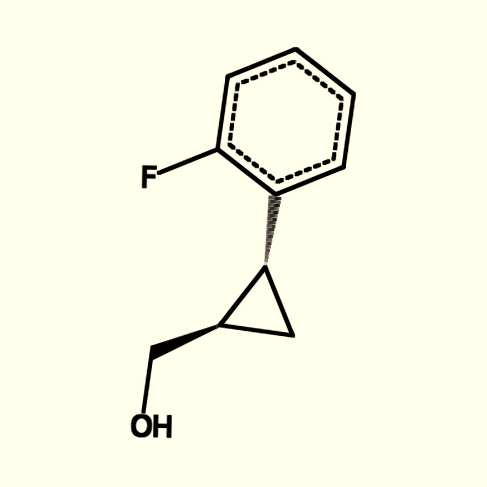 OC[C@@H]1C[C@H]1c1ccccc1F